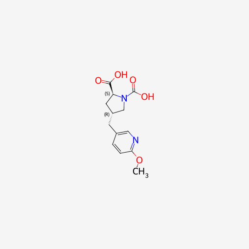 COc1ccc(C[C@@H]2C[C@@H](C(=O)O)N(C(=O)O)C2)cn1